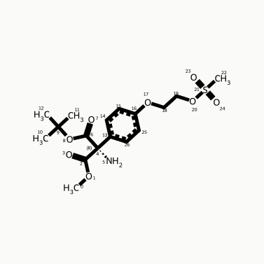 COC(=O)[C@@](N)(C(=O)OC(C)(C)C)c1ccc(OCCOS(C)(=O)=O)cc1